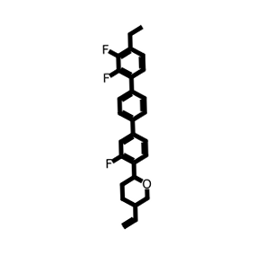 C=CC1CCC(c2ccc(-c3ccc(-c4ccc(CC)c(F)c4F)cc3)cc2F)OC1